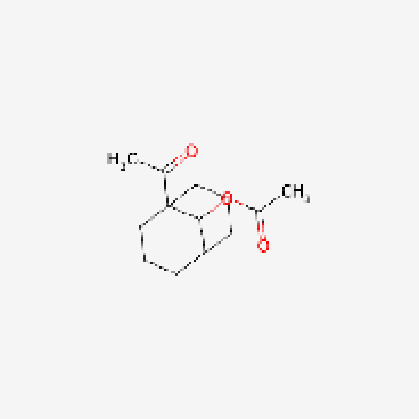 CC(=O)OC1C2CCCC1(C(C)=O)CCC2